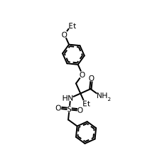 CCOc1ccc(OCC(CC)(NS(=O)(=O)Cc2ccccc2)C(N)=O)cc1